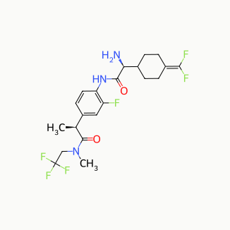 C[C@H](C(=O)N(C)CC(F)(F)F)c1ccc(NC(=O)[C@@H](N)C2CCC(=C(F)F)CC2)c(F)c1